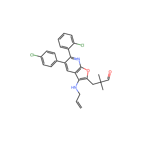 C=CCNc1c(CC(C)(C)C=O)oc2nc(-c3ccccc3Cl)c(-c3ccc(Cl)cc3)cc12